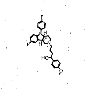 COc1ccc(C(O)CCCN2CC[C@H]3[C@H](C2)c2cc(F)ccc2N3c2ccc(F)cc2)cc1